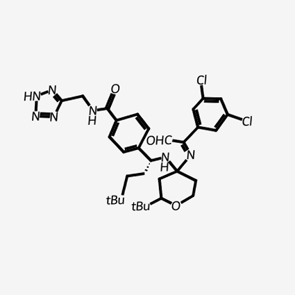 CC(C)(C)CC[C@@H](NC1(/N=C(\C=O)c2cc(Cl)cc(Cl)c2)CCOC(C(C)(C)C)C1)c1ccc(C(=O)NCc2nn[nH]n2)cc1